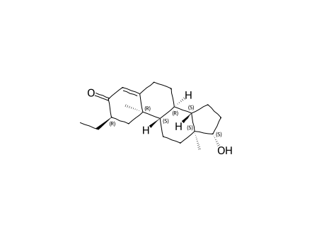 CC[C@@H]1C[C@@]2(C)C(=CC1=O)CC[C@H]1[C@@H]3CC[C@H](O)[C@@]3(C)CC[C@@H]12